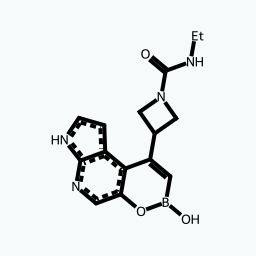 CCNC(=O)N1CC(C2=CB(O)Oc3cnc4[nH]ccc4c32)C1